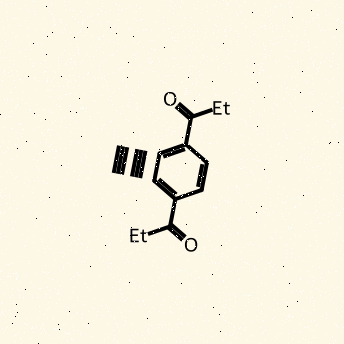 C#C.C#C.CCC(=O)c1ccc(C(=O)CC)cc1